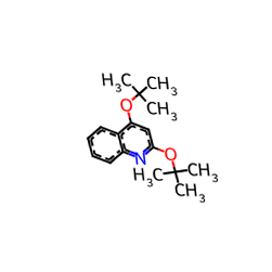 CC(C)(C)Oc1cc(OC(C)(C)C)c2ccccc2n1